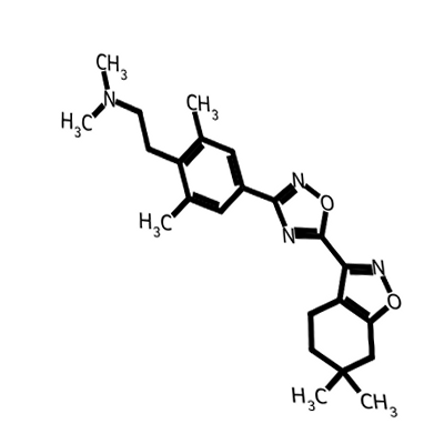 Cc1cc(-c2noc(-c3noc4c3CCC(C)(C)C4)n2)cc(C)c1CCN(C)C